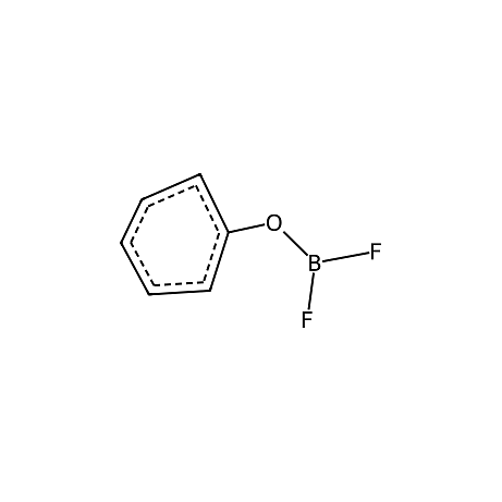 FB(F)Oc1ccccc1